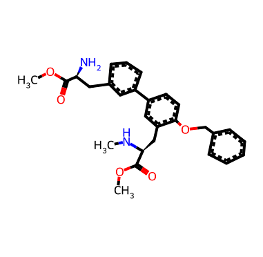 CN[C@@H](Cc1cc(-c2cccc(C[C@H](N)C(=O)OC)c2)ccc1OCc1ccccc1)C(=O)OC